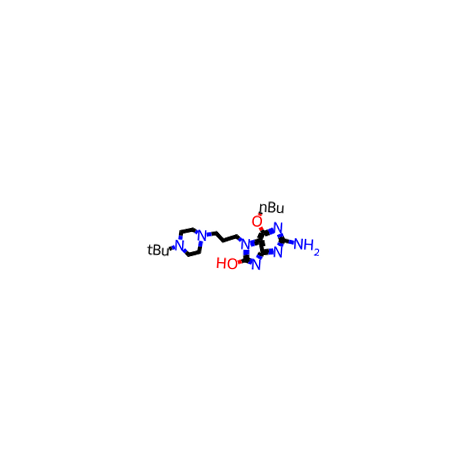 CCCCOc1nc(N)nc2nc(O)n(CCCN3CCN(C(C)(C)C)CC3)c12